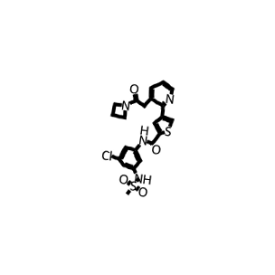 CS(=O)(=O)Nc1cc(Cl)cc(NC(=O)c2cc(-c3ncccc3CC(=O)N3CCC3)cs2)c1